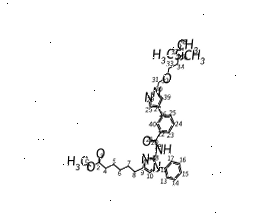 COC(=O)CCCCCc1cn(-c2ccccc2)c(NC(=O)c2cccc(-c3cnn(COCC[Si](C)(C)C)c3)c2)n1